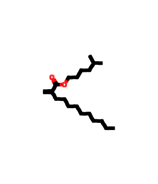 C=C(CCCCCCCCCC)C(=O)OCCCCC(C)C